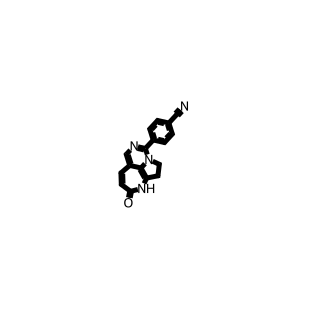 N#Cc1ccc(C2=NC=C3C=CC(=O)NC4=C3N2CC4)cc1